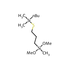 CCCC[Si](C)(C)SCCC[Si](C)(OC)OC